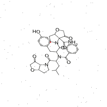 CC(C)CC(C(=O)N1CCC2OCC(=O)C21)N(C(=O)c1ccccc1)C(Cc1ccc(O)cc1)C(=O)N1CCC2OCC(=O)C21C(N)=O